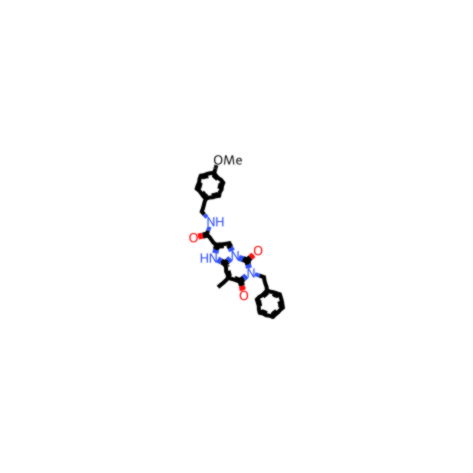 COc1ccc(CNC(=O)c2cn3c(=O)n(Cc4ccccc4)c(=O)c(C)c3[nH]2)cc1